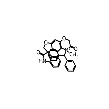 C[N+]1(C(c2ccccc2)c2ccccc2)C(=O)COc2cc3c(cc21)C1(CO3)C(=O)Nc2ccccc21